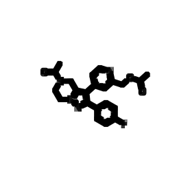 CC(=O)OCc1cc(-c2c(-c3ccc(F)cc3)nn3c2CN(C(C)=O)CC3)ccn1